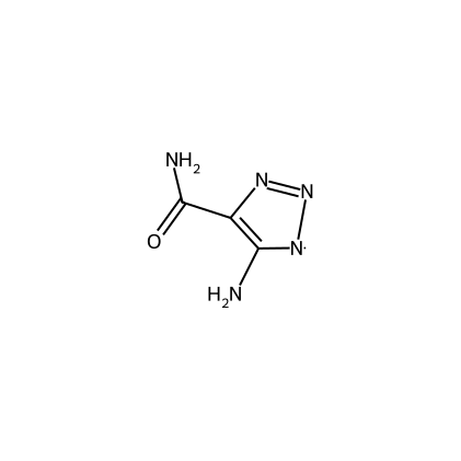 NC(=O)C1=C(N)[N]N=N1